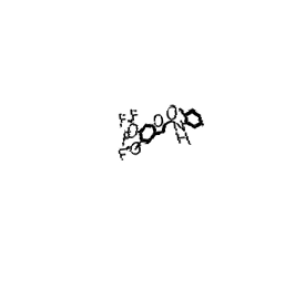 Cc1ccccc1NC(=O)c1cc2cc(OC(F)F)c(OC(F)F)cc2o1